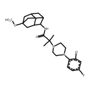 CC(C)(C(=O)NC1C2CC3CC1CC(OC(=O)O)(C3)C2)N1CCN(c2ccc(F)cc2Cl)CC1